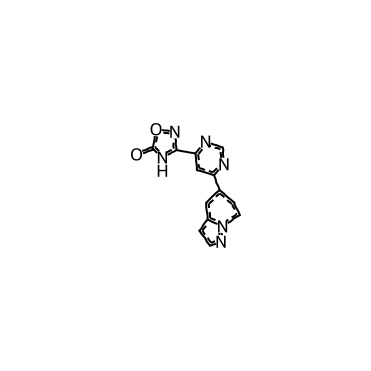 O=c1[nH]c(-c2cc(-c3ccn4nccc4c3)ncn2)no1